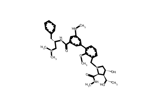 CNC(=O)[C@@H]1[C@H]([C@H](C)O)[C@@H](O)CN1Cc1cccc(-c2cc(NC)cc(C(=O)N[C@@H](Cc3ccccc3)CN(C)C)c2)c1OC